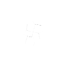 COC(=C(C)C)[Si](C(C)C)(C(C)C)C(C)C